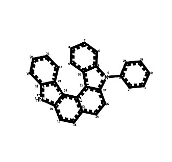 c1ccc(-n2c3ccccc3c3c4c(ccc5[nH]c6ccccc6c54)ccc32)cc1